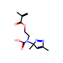 C=C(C)C(=O)OCCN(C(=O)O)C1(C)C=C(C)N=N1